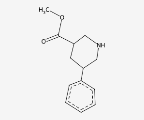 COC(=O)C1CNCC(c2ccccc2)C1